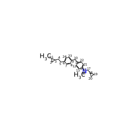 CC1CC1CCc1ccc(Cc2ccc(N(C)CC3CC3)cc2)cc1